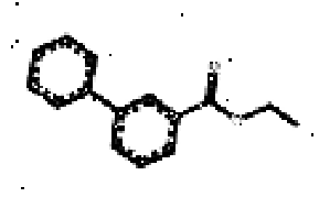 CCOC(=O)c1cccc(-c2c[c]ccc2)c1